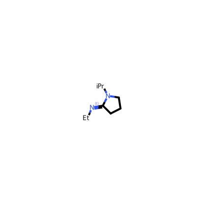 CC/N=C1\CCCN1C(C)C